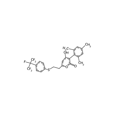 Cc1cc(C)c(-c2c(O)cc(CCSc3ccc(C(F)(C(F)(F)F)C(F)(F)F)cc3)oc2=O)c(C)c1